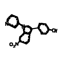 N#Cc1ccc(-c2cn(-c3cccnc3)c3cc([N+](=O)[O-])ccc23)cc1